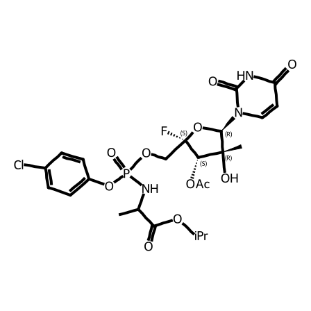 CC(=O)O[C@H]1[C@@](C)(O)[C@H](n2ccc(=O)[nH]c2=O)O[C@]1(F)COP(=O)(NC(C)C(=O)OC(C)C)Oc1ccc(Cl)cc1